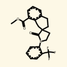 COC(=O)c1cccc2c1CC1(CC2)CCN(c2ccccc2C(F)(F)F)C1=O